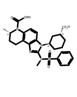 COC(=O)N1c2ccc3c(nc(N(C)S(=O)(=O)c4ccccc4)n3[C@@H]3CCC[C@@H](C(=O)O)C3)c2CC[C@@H]1C